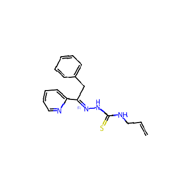 C=CCNC(=S)N/N=C(\Cc1ccccc1)c1ccccn1